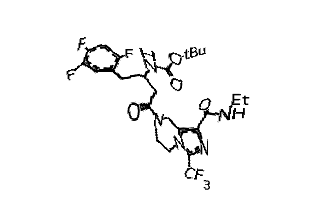 CCNC(=O)c1nc(C(F)(F)F)n2c1CN(C(=O)CC(Cc1cc(F)c(F)cc1F)NC(=O)OC(C)(C)C)CC2